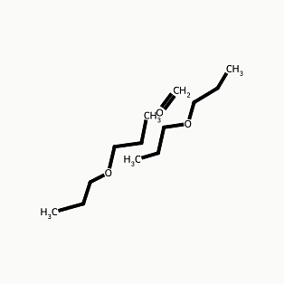 C=O.CCCOCCC.CCCOCCC